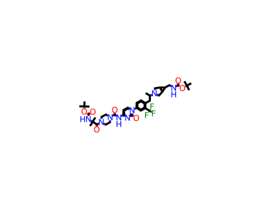 CC(Cc1ccc(-n2ccc(NC(=O)N3CCN(C(=O)C(C)(C)NC(=O)OC(C)(C)C)CC3)nc2=O)cc1C(F)(F)F)N1CC2C(CNC(=O)OC(C)(C)C)C2C1